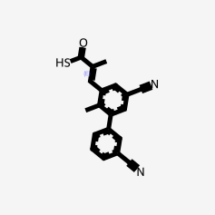 C/C(=C\c1cc(C#N)cc(-c2cccc(C#N)c2)c1C)C(=O)S